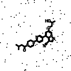 CC(C)CC(=O)N1CCN(c2ccc(-c3cc(OCC(C)O)cn4ncc(C#N)c34)cn2)CC1